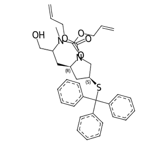 C=CCOC(=O)N(C)C(CO)C[C@@H]1C[C@H](SC(c2ccccc2)(c2ccccc2)c2ccccc2)CN1C(=O)OCC=C